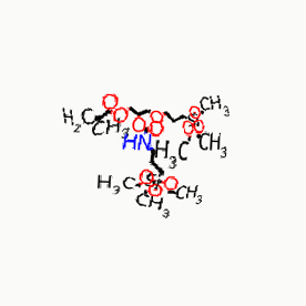 C=C(C)C(=O)OCC(COCCC[Si](OCC)(OCC)OCC)OC(=O)NCCC[Si](OCC)(OCC)OCC